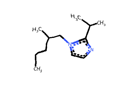 CCCC(C)Cn1ccnc1C(C)C